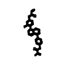 C=CC(=O)Sc1ccc(-c2cccc3c(-c4ccc(SC(=O)C(=C)C)cc4)cccc23)c(F)c1